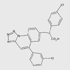 O=C(O)C(c1ccc(Cl)cc1)c1ccc2c(c1)c(-c1cccc(Cl)c1)cc1nnnn12